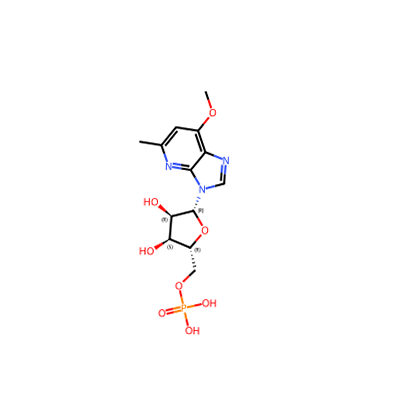 COc1cc(C)nc2c1ncn2[C@@H]1O[C@H](COP(=O)(O)O)[C@@H](O)[C@H]1O